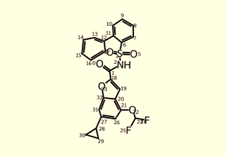 O=C(NS(=O)(=O)c1ccccc1-c1ccccc1)c1cc2c(OC(F)F)cc(C3CC3)cc2o1